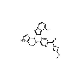 COC1CN(C(=O)c2cnc(N3CCc4[nH]cnc4[C@@H]3c3cc4c(F)cccn4n3)cn2)C1